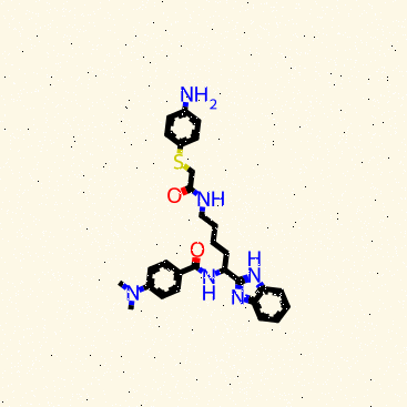 CN(C)c1ccc(C(=O)NC(CCCCNC(=O)CSc2ccc(N)cc2)c2nc3ccccc3[nH]2)cc1